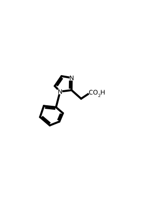 O=C(O)Cc1nccn1-c1ccccc1